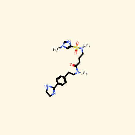 CN(CCc1ccc(C2=NCCN2)cc1)C(=O)CCCN(C)S(=O)(=O)c1cn(C)cn1